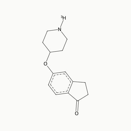 [3H]N1CCC(Oc2ccc3c(c2)CCC3=O)CC1